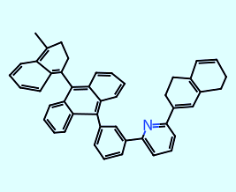 CC1=c2ccccc2=C(c2c3ccccc3c(-c3cccc(-c4cccc(C5=CC6=C(C=CCC6)CC5)n4)c3)c3ccccc23)CC1